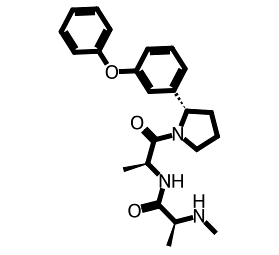 CN[C@@H](C)C(=O)N[C@@H](C)C(=O)N1CCC[C@H]1c1cccc(Oc2ccccc2)c1